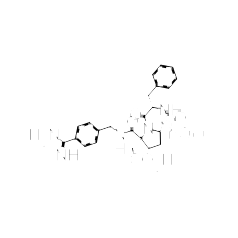 CCCCCCCCS(=O)(=O)N[C@H](Cc1ccccc1)C(=O)N1CCC[C@@]1(CC(=O)O)C(=O)NCc1ccc(C(=N)N)cc1